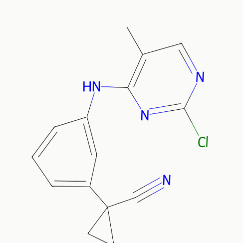 Cc1cnc(Cl)nc1Nc1cccc(C2(C#N)CC2)c1